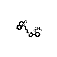 COc1ccccc1C1CCN(CCCCN2C(=O)CCc3ccccc32)C1